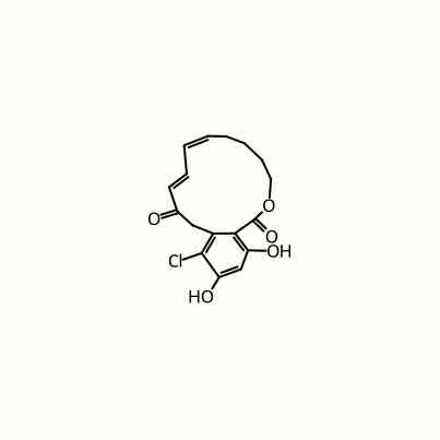 O=C1/C=C/C=C\CCCCOC(=O)c2c(O)cc(O)c(Cl)c2C1